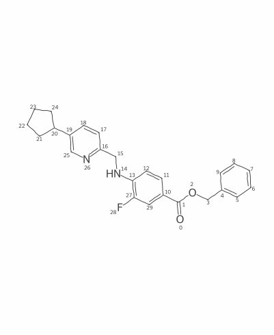 O=C(OCc1ccccc1)c1ccc(NCc2ccc(C3CCCC3)cn2)c(F)c1